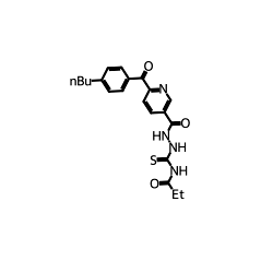 CCCCc1ccc(C(=O)c2ccc(C(=O)NNC(=S)NC(=O)CC)cn2)cc1